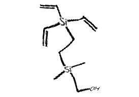 C=C[Si](C=C)(C=C)CC[Si](C)(C)CO